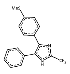 CSc1ccc(-c2nc(C(F)(F)F)[nH]c2-c2ccccc2)cc1